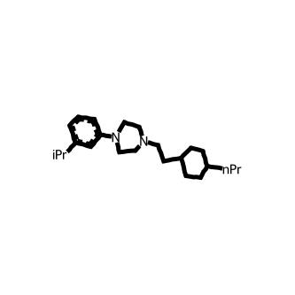 CCCC1CCC(CCN2CCN(c3cccc(C(C)C)c3)CC2)CC1